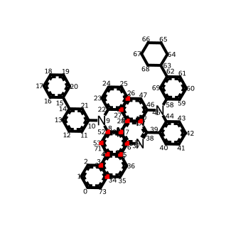 c1ccc(-c2cccc(N(c3cccc(-c4ccccc4)c3)c3ccccc3-c3nc(-c4ccccc4)nc(-c4ccccc4N(c4cccc(-c5ccccc5)c4)c4cccc(C5CCCCC5)c4)n3)c2)cc1